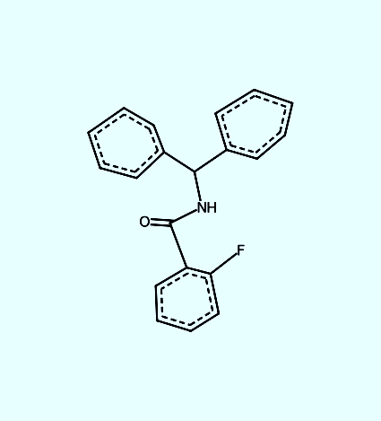 O=C(NC(c1ccccc1)c1ccccc1)c1ccccc1F